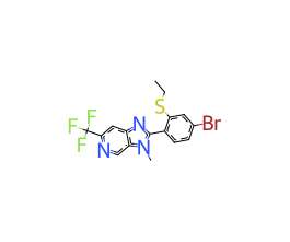 CCSc1cc(Br)ccc1-c1nc2cc(C(F)(F)F)ncc2n1C